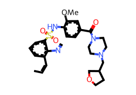 C=Nc1c(/C=C\C)cccc1S(=O)(=O)Nc1ccc(C(=O)N2CCN(CC3CCOC3)CC2)cc1OC